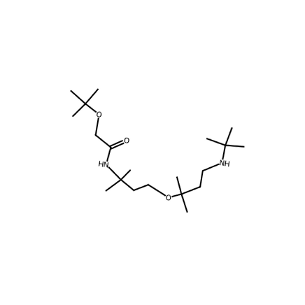 CC(C)(C)NCCC(C)(C)OCCC(C)(C)NC(=O)COC(C)(C)C